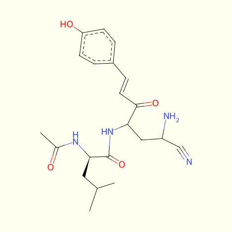 CC(=O)N[C@H](CC(C)C)C(=O)NC(CC(N)C#N)C(=O)/C=C/c1ccc(O)cc1